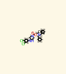 C[C@@H](COC(=O)N1CCC(Nc2ccc(Cl)c(Cl)c2)CC1)N(Cc1ccccc1)Cc1ccccc1